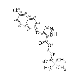 CC(C)(C)C(=O)OCOC(=O)c1[nH]nnc1Oc1ccc2cc(Cl)ccc2c1